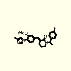 COc1cc(C=C2CCCN(C(C)c3ccc(F)cc3)C2=O)ccc1-n1cnc(C)c1